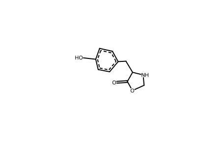 O=C1OCNC1Cc1ccc(O)cc1